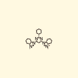 C[n+]1cn(-c2cc(-n3c[n+](C)c4ccccc43)nc(-c3ccccc3)n2)c2ccccc21